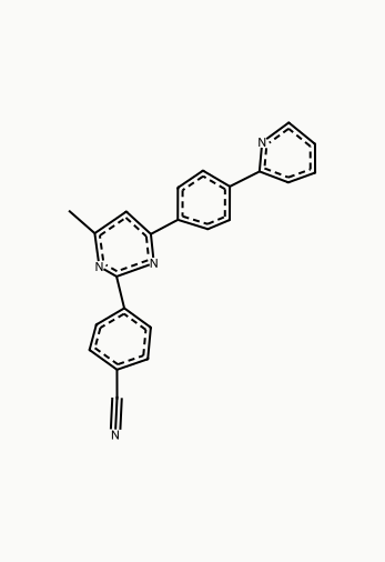 Cc1cc(-c2ccc(-c3ccccn3)cc2)nc(-c2ccc(C#N)cc2)n1